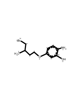 CC(CCOc1ccc(N)c(O)c1)CC(C)(C)C